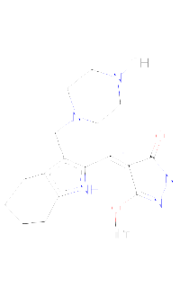 CC(C)OC1=NNC(=O)/C1=C/c1[nH]c2c(c1CN1CCN(C)CC1)CCCC2